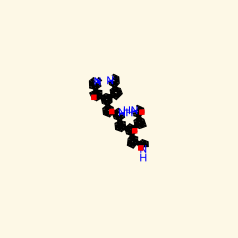 CN1C=C(c2cccc(-c3cc(-c4cccc(C5=CC(c6cccc(-c7cc(-c8cccc(C9=CNCC=C9)c8)cc(-c8cccc(C9=CC=CNC9)c8)c7)c6)=CNC5)c4)cc(-c4cccc(-c5cccnc5)c4)c3)c2)C=CC1